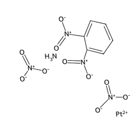 N.O=[N+]([O-])[O-].O=[N+]([O-])[O-].O=[N+]([O-])c1ccccc1[N+](=O)[O-].[Pt+2]